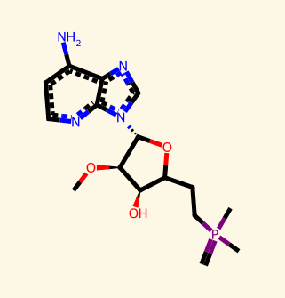 C=P(C)(C)CCC1O[C@@H](n2cnc3c(N)ccnc32)[C@H](OC)[C@@H]1O